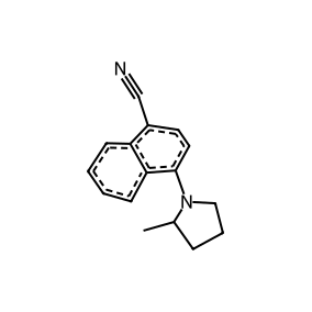 CC1CCCN1c1ccc(C#N)c2ccccc12